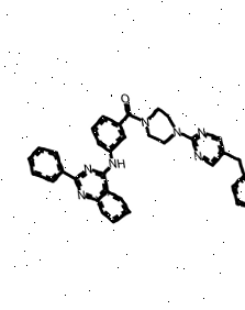 O=C(c1cccc(Nc2nc(-c3ccccc3)nc3ccccc23)c1)N1CCN(c2ncc(Cc3ccccc3)cn2)CC1